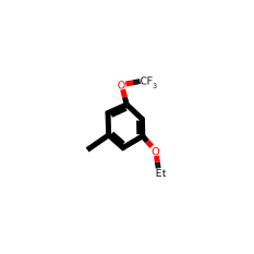 CCOc1cc(C)cc(OC(F)(F)F)c1